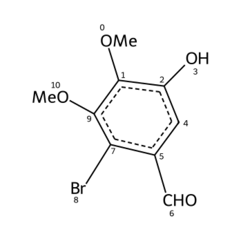 COc1c(O)cc(C=O)c(Br)c1OC